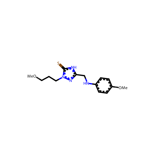 COCCCn1nc(CNc2ccc(OC)cc2)[nH]c1=S